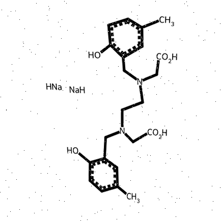 Cc1ccc(O)c(CN(CCN(CC(=O)O)Cc2cc(C)ccc2O)CC(=O)O)c1.[NaH].[NaH]